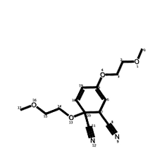 COCCOC1=CC(C#N)C(C#N)(OCCOC)C=C1